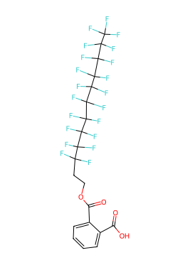 O=C(O)c1ccccc1C(=O)OCCC(F)(F)C(F)(F)C(F)(F)C(F)(F)C(F)(F)C(F)(F)C(F)(F)C(F)(F)C(F)(F)C(F)(F)F